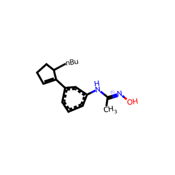 CCCCC1CCC=C1c1cccc(N/C(C)=N/O)c1